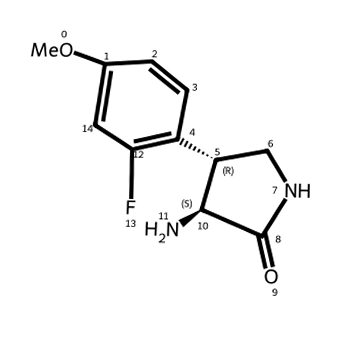 COc1ccc([C@@H]2CNC(=O)[C@H]2N)c(F)c1